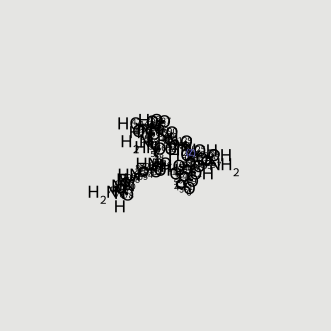 COc1cccc2c1C(=O)c1c(O)c3c(c(O)c1C2=O)C[C@@](O)(/C(CO)=N\NC(=O)CCN1C(=O)CC(SC[C@H](NC(=O)[C@H](CC(=O)O)NC(=O)[C@@H](N)CNC(=O)CC[C@@H](NC(=O)c2ccc(NCc4cnc5nc(N)[nH]c(=O)c5n4)cc2)C(=O)O)C(=O)O)C1=O)C[C@@H]3O[C@H]1CC(N)C(O)=CO1